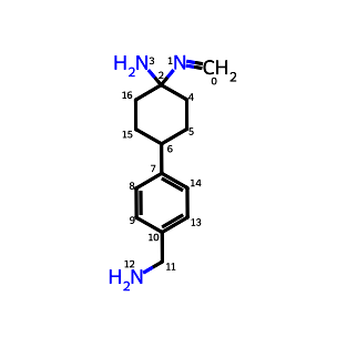 C=NC1(N)CCC(c2ccc(CN)cc2)CC1